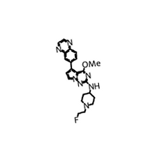 COc1nc(NC2CCN(CCF)CC2)nn2ccc(-c3ccc4nccnc4c3)c12